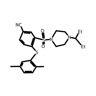 CCC(CC)N1CCN(S(=O)(=O)c2cc(C#N)ccc2Sc2cc(C)ccc2C)CC1